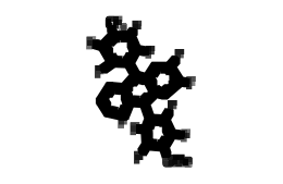 COc1c(F)c(F)c(-c2c3cc(F)c(F)cc3c(-c3c(F)c(F)c(C(F)(F)F)c(F)c3F)c3cccc(F)c23)c(F)c1F